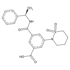 C[C@@H](NC(=O)c1cc(C(=O)O)cc(N2CCCCS2(=O)=O)c1)c1ccccc1